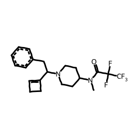 CN(C(=O)C(F)(F)C(F)(F)F)C1CCN(C(Cc2ccccc2)C2=CCC2)CC1